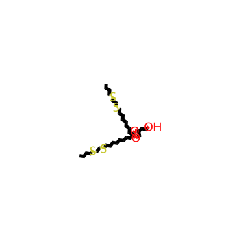 CCCCSCCSCCCCCCCCC1(CCCCCCCCSCCSCCCC)OCC(CCO)O1